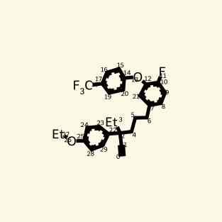 C#CC(CC)(CCCc1ccc(F)c(Oc2ccc(C(F)(F)F)cc2)c1)c1ccc(OCC)cc1